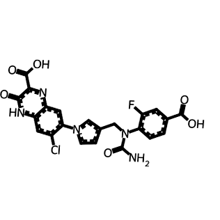 NC(=O)N(Cc1ccn(-c2cc3nc(C(=O)O)c(=O)[nH]c3cc2Cl)c1)c1ccc(C(=O)O)cc1F